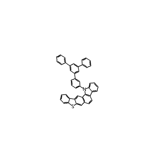 c1ccc(-c2cc(-c3ccccc3)cc(-c3cccc(-n4c5ccccc5c5ccc6cc7sc8ccccc8c7cc6c54)c3)c2)cc1